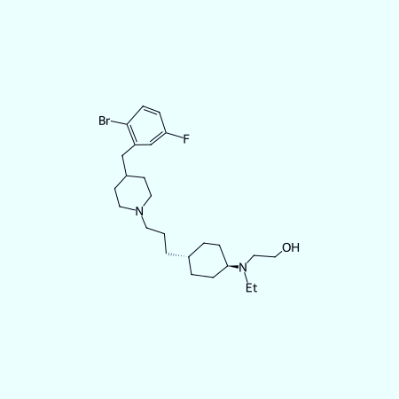 CCN(CCO)[C@H]1CC[C@H](CCCN2CCC(Cc3cc(F)ccc3Br)CC2)CC1